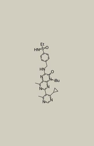 CC[C@H](C)n1c(=O)c(NCc2ccc(S(=N)(=O)CC)cc2)nc2c(C)nc(-c3c(C)ncnc3C3CC3)nc21